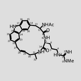 CNC(=N)NCCC[C@@H]1NC(=O)C(NC(C)=O)Cc2ccc3[nH]c4ccc(cc4c3c2)C/C=C/CC(C)NC1=O